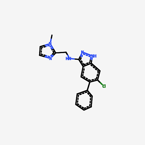 Cn1ccnc1CNc1n[nH]c2cc(Cl)c(-c3ccccc3)cc12